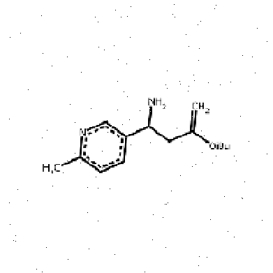 C=C(CC(N)c1ccc(C)nc1)OCC(C)C